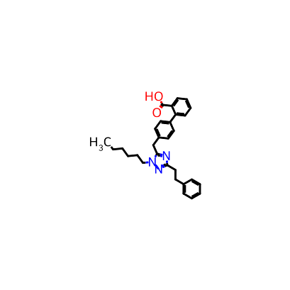 CCCCCCn1nc(CCc2ccccc2)nc1Cc1ccc(-c2ccccc2C(=O)O)cc1